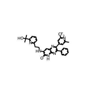 Cc1cc(-c2nc3cc(NCCc4cccc(C(C)(C)O)n4)c(=O)[nH]c3nc2-c2ccccc2)cc(C(F)(F)F)n1